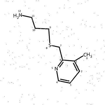 Cc1cccnc1CSCCCN